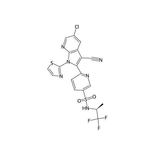 C[C@H](NS(=O)(=O)c1ccc(-c2c(C#N)c3cc(Cl)cnc3n2-c2nccs2)nc1)C(F)(F)F